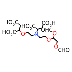 O=COCC(OC=O)OCCN(CCOC(CC(=O)O)C(=O)O)C(CC(=O)O)C(=O)O